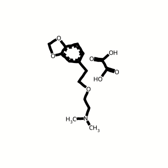 CN(C)CCOCCc1ccc2c(c1)OCO2.O=C(O)C(=O)O